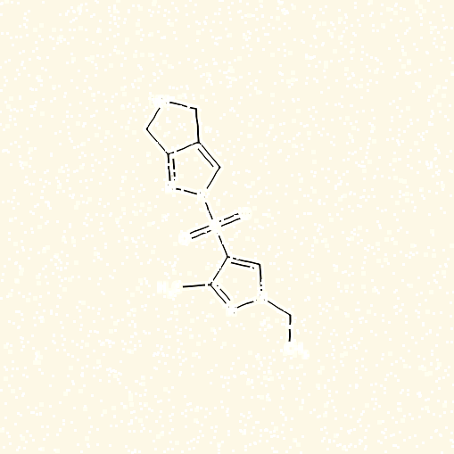 CCn1cc(S(=O)(=O)n2cc3c(n2)CNC3)c(C)n1